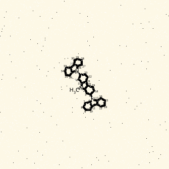 Cn1c2cc(-n3c4ccccc4c4ccccc43)ccc2c2ccc(-n3c4ccccc4c4ccccc43)cc21